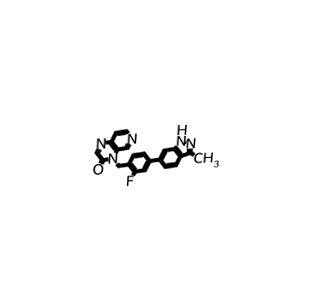 Cc1n[nH]c2cc(-c3ccc(Cn4c(=O)cnc5ccncc54)c(F)c3)ccc12